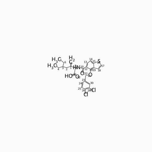 C=C(CC(CC)CC)[C@H](NC(=O)c1ccc2sccc2c1OCc1ccc(Cl)c(Cl)c1)C(=O)O